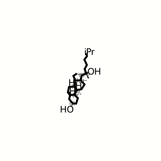 CC(C)CCCC[C@](C)(O)[C@H]1CC[C@H]2[C@@H]3CC=C4C[C@@H](O)CC[C@]4(C)[C@H]3CC[C@@]21C